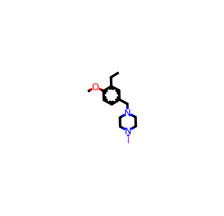 CCc1cc(CN2CCN(I)CC2)ccc1OC